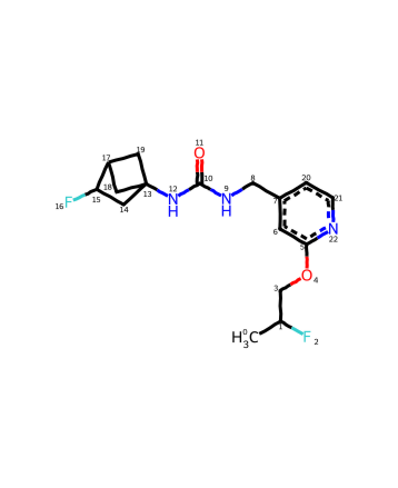 CC(F)COc1cc(CNC(=O)NC23CC(F)C(C2)C3)ccn1